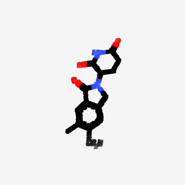 Cc1cc2c(cc1C(=O)O)CN(C1CCC(=O)NC1=O)C2=O